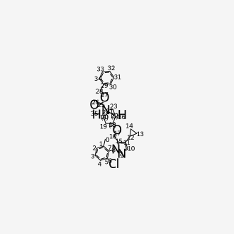 Cc1cccc(Cl)c1-n1ncc(C2CC2)c1CO[C@@H]1C[C@@H]2C[C@H]1CN2C(=O)OCc1ccccc1